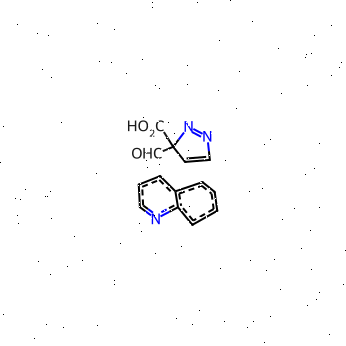 O=CC1(C(=O)O)C=CN=N1.c1ccc2ncccc2c1